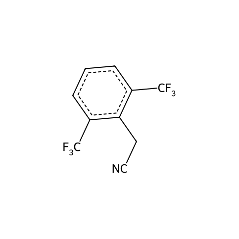 N#CCc1c(C(F)(F)F)cccc1C(F)(F)F